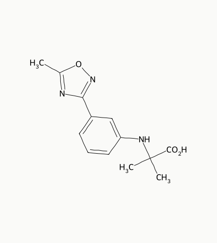 Cc1nc(-c2cccc(NC(C)(C)C(=O)O)c2)no1